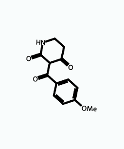 COc1ccc(C(=O)C2C(=O)CCNC2=O)cc1